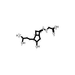 CC(O)CCC1C(O)CC2C(=NOCC(=O)O)CC21